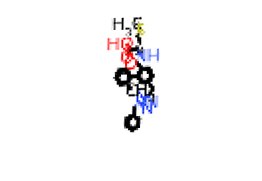 CSCC[C@H](NC(=O)c1ccc(Cc2nnn(Cc3ccccc3)n2)cc1-c1ccccc1C)C(=O)O